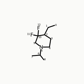 CCC1CCN(C(C)C)CC1(F)F